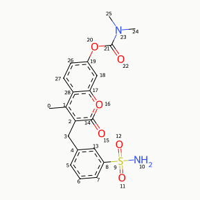 Cc1c(Cc2cccc(S(N)(=O)=O)c2)c(=O)oc2cc(OC(=O)N(C)C)ccc12